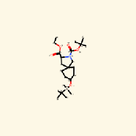 CCOC(=O)C1CC2(CCC(O[Si](C)(C)C(C)(C)C)CC2)CN1C(=O)OC(C)(C)C